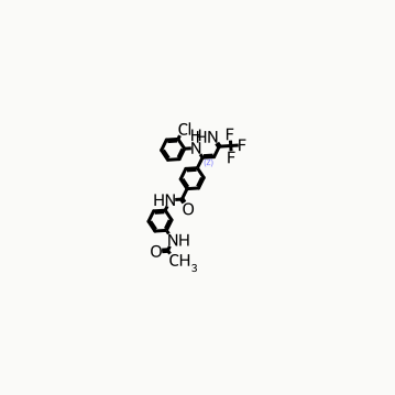 CC(=O)Nc1cccc(NC(=O)c2ccc(/C(=C/C(=N)C(F)(F)F)Nc3ccccc3Cl)cc2)c1